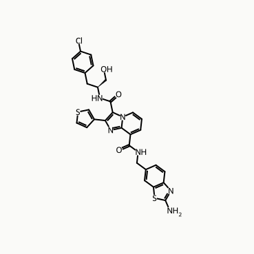 Nc1nc2ccc(CNC(=O)c3cccn4c(C(=O)N[C@H](CO)Cc5ccc(Cl)cc5)c(-c5ccsc5)nc34)cc2s1